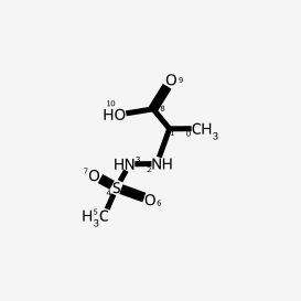 CC(NNS(C)(=O)=O)C(=O)O